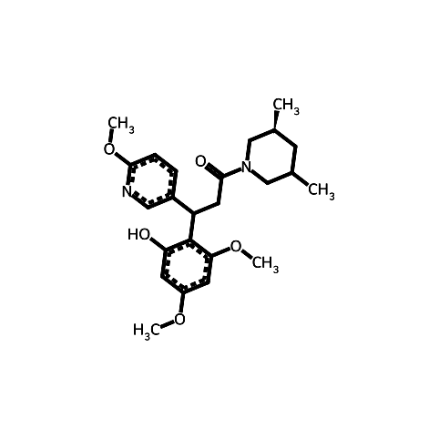 COc1cc(O)c(C(CC(=O)N2CC(C)C[C@H](C)C2)c2ccc(OC)nc2)c(OC)c1